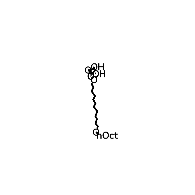 CCCCCCCCOCCCCCCCCCCCCOOP(=O)(O)O